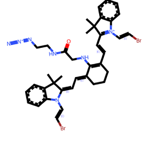 CC1(C)C(/C=C/C2=C(NCC(=O)NCCN=[N+]=[N-])C(=C/C=C3/N(/C=C/Br)c4ccccc4C3(C)C)/CCC2)=[N+](/C=C/Br)c2ccccc21